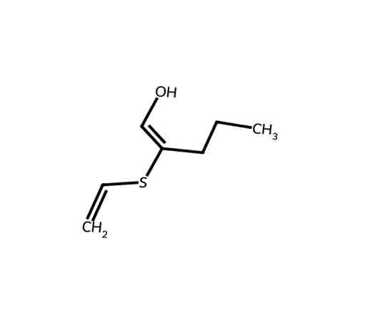 C=CSC(=CO)CCC